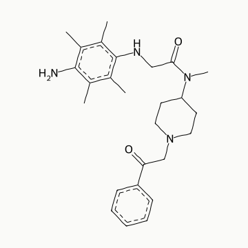 Cc1c(C)c(NCC(=O)N(C)C2CCN(CC(=O)c3ccccc3)CC2)c(C)c(C)c1N